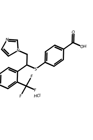 Cl.O=C(O)c1ccc(SC(Cn2ccnc2)c2ccccc2C(F)(F)F)cc1